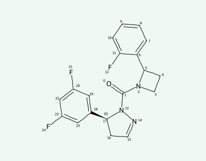 O=C(N1CCC1c1ccccc1F)N1N=CC[C@H]1c1cc(F)cc(F)c1